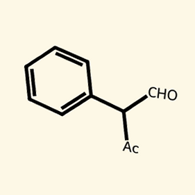 CC(=O)C(C=O)c1ccccc1